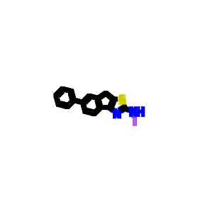 INc1nc2c(s1)Cc1cc(-c3ccccc3)ccc1-2